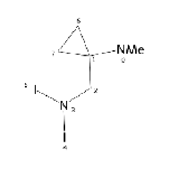 CNC1(CN(I)I)CC1